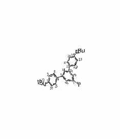 CC(C)(C)c1ccc(-c2cc(I)cc(-c3ccc(C(C)(C)C)cc3)c2)cc1